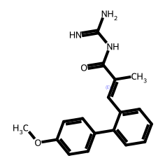 COc1ccc(-c2ccccc2/C=C(\C)C(=O)NC(=N)N)cc1